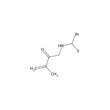 C=C(C)C(=O)CNC(F)C(C)C